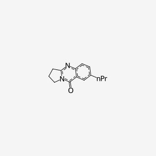 CCCc1ccc2nc3n(c(=O)c2c1)CCC3